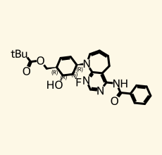 CC(C)(C)C(=O)OC[C@H]1C=C[C@@H](N2C=C=CCc3c(NC(=O)c4ccccc4)ncnc32)[C@H](F)[C@@H]1O